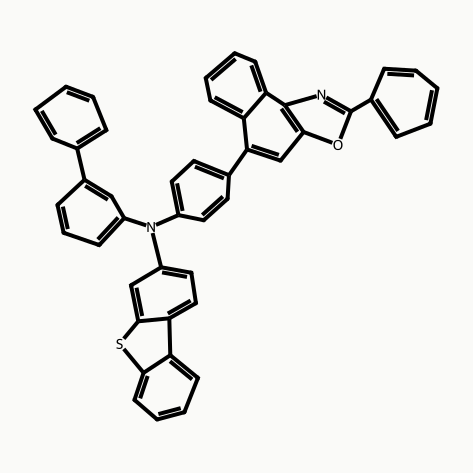 c1ccc(-c2cccc(N(c3ccc(-c4cc5oc(-c6ccccc6)nc5c5ccccc45)cc3)c3ccc4c(c3)sc3ccccc34)c2)cc1